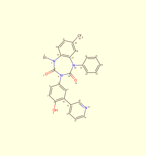 CCN1C(=O)N(c2ccc(O)c(-c3cccnc3)c2)C(=O)N(c2ccccc2)c2cc(C(F)(F)F)ccc21